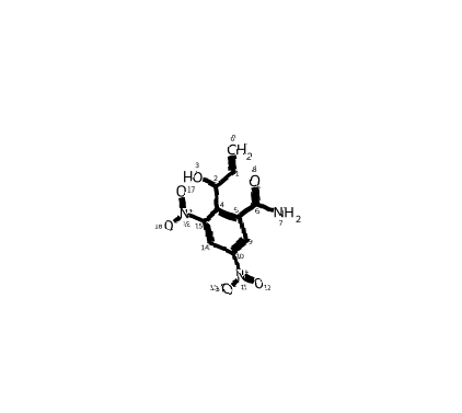 C=CC(O)c1c(C(N)=O)cc([N+](=O)[O-])cc1[N+](=O)[O-]